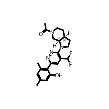 CC(=O)N1CC[C@H]2CCN(c3nnc(-c4c(C)cc(C)cc4O)cc3C(F)F)[C@H]2C1